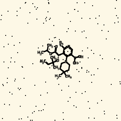 CCC(C)(C)O[C@H](C(=O)OC(C)C)c1c(C)ncc(B(O)O)c1N1CCC(C)(C)CC1